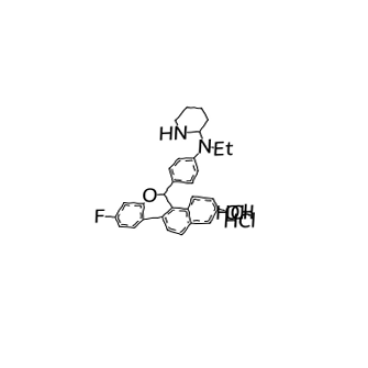 CCN(c1ccc(C2Oc3cc(F)ccc3-c3ccc4cc(O)ccc4c32)cc1)C1CCCCN1.Cl.Cl